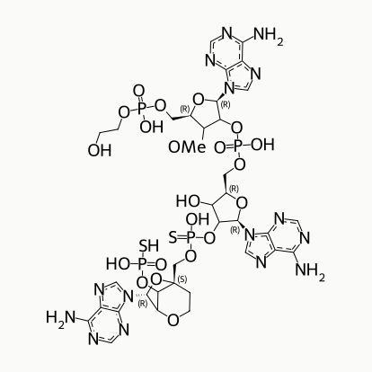 COC1C(OP(=O)(O)OC[C@H]2O[C@@H](n3cnc4c(N)ncnc43)C(OP(O)(=S)OC[C@@]34CCOC(C3OP(=O)(O)S)[C@H](n3cnc5c(N)ncnc53)O4)C2O)[C@H](n2cnc3c(N)ncnc32)O[C@@H]1COP(=O)(O)OCCO